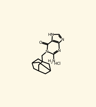 Cl.Nc1nc2nc[nH]c2c(=O)n1CC12CC3CC(CC(C3)C1)C2